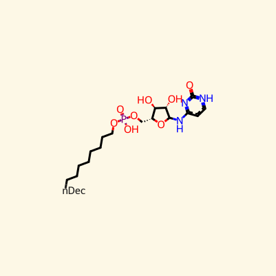 CCCCCCCCCCCCCCCCCCOP(=O)(O)OC[C@H]1OC(Nc2cc[nH]c(=O)n2)[C@@H](O)[C@@H]1O